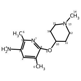 Cc1cc(N)c(C)nc1OC1CCN(C)CC1